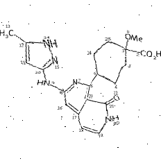 COC1(C(=O)O)CCC(c2nc(Nc3cc(C)[nH]n3)cc3cc[nH]c(=O)c23)CC1